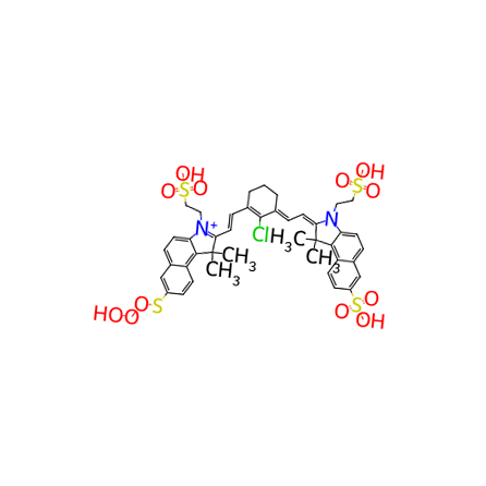 CC1(C)C(/C=C/C2=C(Cl)C(=C/C=C3/N(CCS(=O)(=O)O)c4ccc5cc(S(=O)(=O)O)ccc5c4C3(C)C)/CCC2)=[N+](CCS(=O)(=O)O)c2ccc3cc(SOOO)ccc3c21